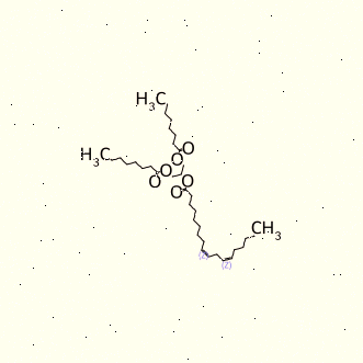 CCCCC/C=C\C/C=C\CCCCCCCC(=O)OC(COC(=O)CCCCCCC)COC(=O)CCCCCCC